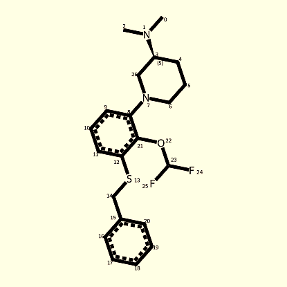 CN(C)[C@H]1CCCN(c2cccc(SCc3ccccc3)c2OC(F)F)C1